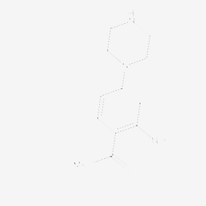 COC(=O)c1ccc(N2CCNC(C)C2)cc1[N+](=O)[O-]